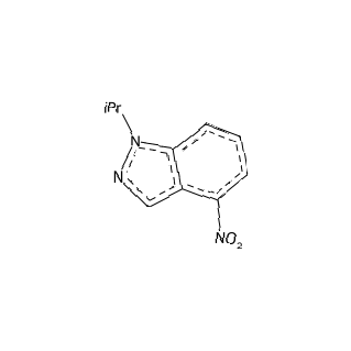 CC(C)n1ncc2c([N+](=O)[O-])cccc21